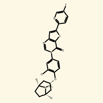 CN1[C@@H]2CC[C@H]1C[C@H](Oc1ccc(-n3cnc4cc(-c5ccc(F)cn5)sc4c3=O)cc1Cl)C2